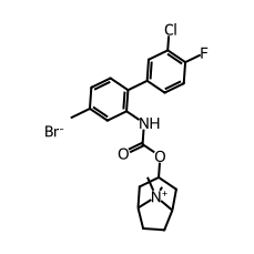 Cc1ccc(-c2ccc(F)c(Cl)c2)c(NC(=O)OC2CC3CCC(C2)[N+]3(C)C)c1.[Br-]